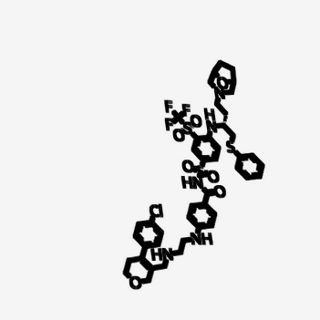 O=C(NS(=O)(=O)c1ccc(N[C@H](CCN2CC3CCC(C2)O3)CSc2ccccc2)c(S(=O)(=O)C(F)(F)F)c1)c1ccc(NCCNCC2=C(c3ccc(Cl)cc3)CCOC2)cc1